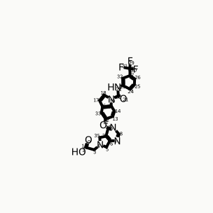 O=C(O)CN1Cc2ncnc(Oc3ccc4c(ccn4C(=O)Nc4cccc(C(F)(F)F)c4)c3)c2C1